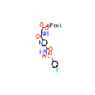 CCCCCOC(=O)CNC(=O)c1ccc(C(=O)NS(=O)(=O)CCc2ccc(F)cc2)cn1